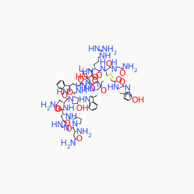 CCCC[C@@H](C(=O)N(C)[C@@H](CCCC)C(=O)N[C@@H](CCCNC(=N)N)C(=O)NC(CSCC(=O)N[C@@H](Cc1ccc(O)cc1)C(=O)NC)C(=O)NCC(N)=O)N(C)C(=O)[C@H](Cc1c[nH]c2ccccc12)NC(=O)[C@H](CO)NC(=O)[C@H](Cc1c[nH]c2ccccc12)NC(=O)[C@@H]1C[C@@H](O)CN1C(=O)[C@H](CC(N)=O)NC(=O)[C@H](Cc1cnc[nH]1)NC(=O)[C@@H]1CCCN1C(=O)[C@@H](N)CC(N)=O